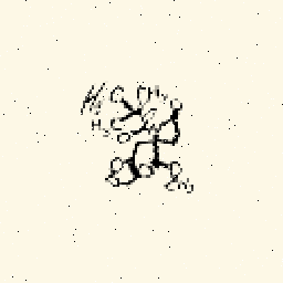 COC(=O)C1(CC2=CCOO2)CCC(=O)N1C(=O)OC(C)(C)C